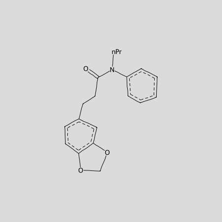 CCCN(C(=O)CCc1ccc2c(c1)OCO2)c1ccccc1